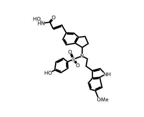 COc1ccc2c(CCN(C3CCc4cc(/C=C/C(=O)NO)ccc43)S(=O)(=O)c3ccc(O)cc3)c[nH]c2c1